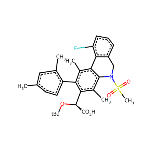 Cc1ccc(-c2c(C)c3c(c(C)c2[C@H](OC(C)(C)C)C(=O)O)N(S(C)(=O)=O)Cc2cccc(F)c2-3)c(C)c1